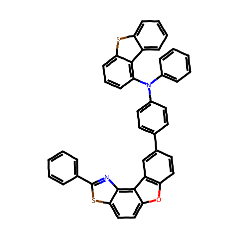 c1ccc(-c2nc3c(ccc4oc5ccc(-c6ccc(N(c7ccccc7)c7cccc8sc9ccccc9c78)cc6)cc5c43)s2)cc1